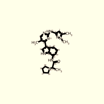 Cc1cnc(Nc2cc(C)n(C)n2)nc1-c1c[nH]c2c(NC(=O)C(C)N3CCCC3)cccc12